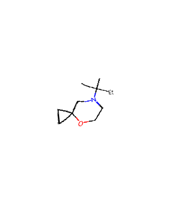 CCC(C)(C)N1CCOC2(CC2)C1